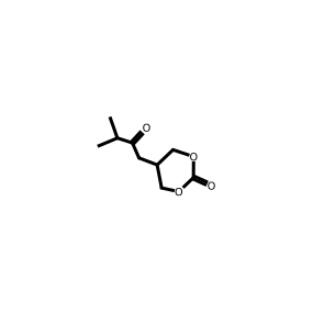 CC(C)C(=O)CC1COC(=O)OC1